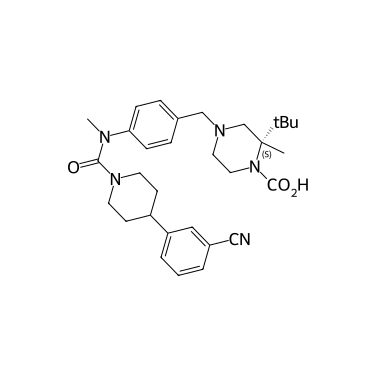 CN(C(=O)N1CCC(c2cccc(C#N)c2)CC1)c1ccc(CN2CCN(C(=O)O)[C@@](C)(C(C)(C)C)C2)cc1